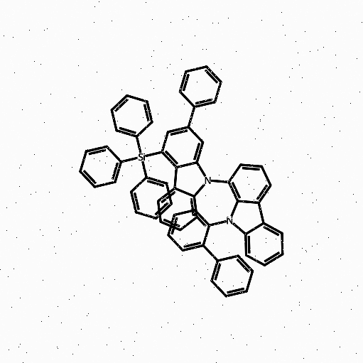 c1ccc(-c2cc([Si](c3ccccc3)(c3ccccc3)c3ccccc3)c3c4ccccc4n(-c4cccc5c6ccccc6n(-c6ccccc6-c6ccccc6)c45)c3c2)cc1